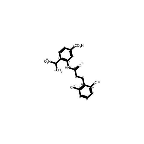 CC(c1ccc(C(=O)O)cc1NC(=O)CCc1c(Cl)cccc1Cl)[N+](=O)[O-]